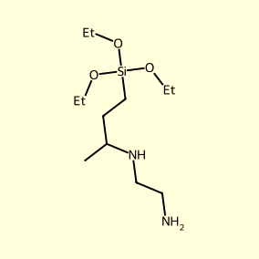 CCO[Si](CCC(C)NCCN)(OCC)OCC